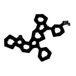 Cc1cccc(-n2c3ccccc3c3cc4c5c6oc7ccccc7c6ccc5n(-c5ccccc5)c4cc32)c1